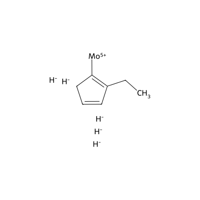 CCC1=[C]([Mo+5])CC=C1.[H-].[H-].[H-].[H-].[H-]